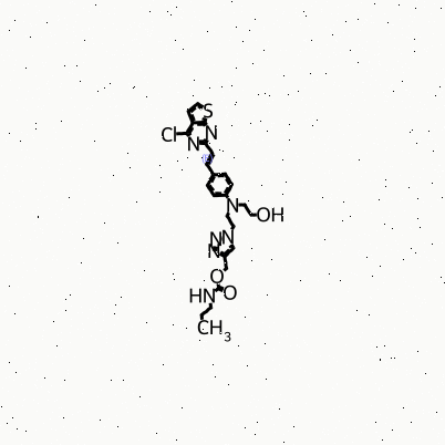 CCCNC(=O)OCc1cn(CCN(CCO)c2ccc(/C=C/c3nc(Cl)c4ccsc4n3)cc2)nn1